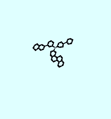 c1ccc(-c2ccc(N(c3cccc(-c4ccc5ccccc5c4)c3)c3ccc4ccc5c6ccccc6ccc5c4c3)cc2)cc1